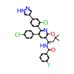 CC1(C)C[C@@H](NC(=O)c2cccc(F)c2)c2cc(-c3ccc(Cl)cc3)c(-c3ccc(-c4cn[nH]c4)cc3Cl)nc2O1